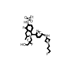 CCS(=O)(=O)Nc1ccc2c(c1F)CC(C)N(CC(F)(F)CO)C2c1ccc(NC2CN(CCCF)C2)cn1